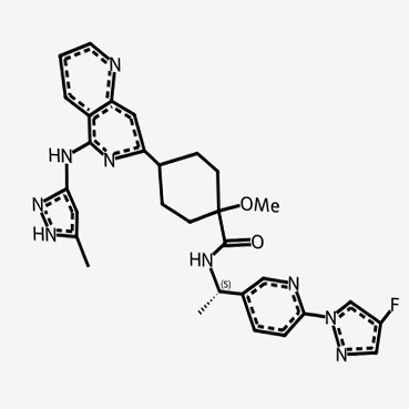 COC1(C(=O)N[C@@H](C)c2ccc(-n3cc(F)cn3)nc2)CCC(c2cc3ncccc3c(Nc3cc(C)[nH]n3)n2)CC1